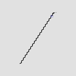 [CH]=C/C=C/CCCCCCCCCCCCCCCCCCCCCCCCCCCCCCCCCC